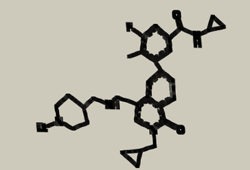 CCN1CCC(CNCc2cn(CC3CC3)c(=O)c3ccc(-c4cc(C(=O)NC5CC5)cc(F)c4C)cc23)CC1